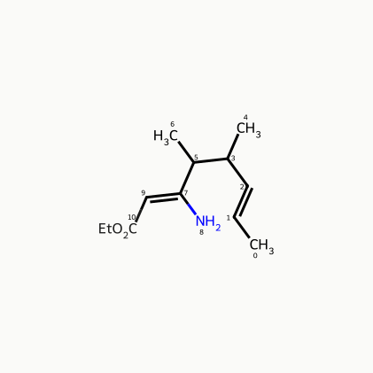 C/C=C/C(C)C(C)C(N)=CC(=O)OCC